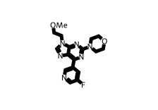 COCCn1cnc2c(-c3cncc(F)c3)nc(N3CCOCC3)nc21